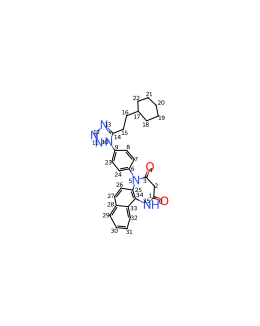 O=C1CC(=O)N(c2ccc(-n3nnnc3CCC3CCCCC3)cc2)c2ccc3ccccc3c2N1